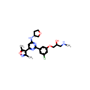 CNCC(O)COc1cc(Cl)cc(-c2nc(N[C@H]3CCOC3)cc(-c3c(C)noc3C)n2)c1